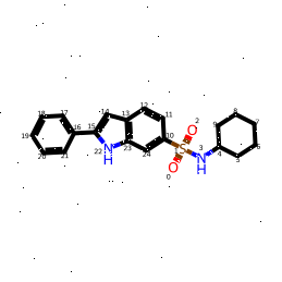 O=S(=O)(NC1CCCCC1)c1ccc2cc(-c3ccccc3)[nH]c2c1